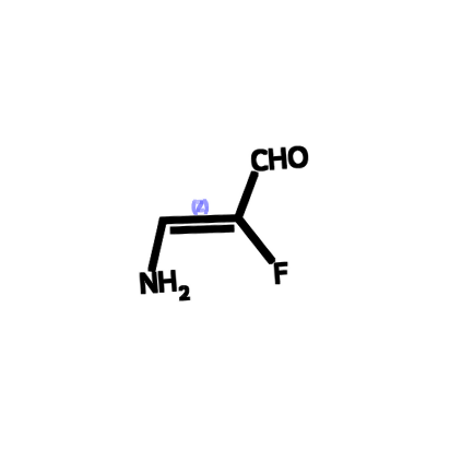 N/C=C(\F)C=O